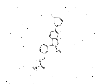 Cn1nc2cc(-c3cccc(F)c3)ccc2c1-c1cccc(COC(N)=O)c1